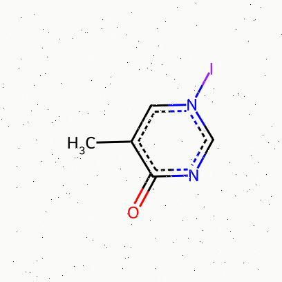 Cc1cn(I)cnc1=O